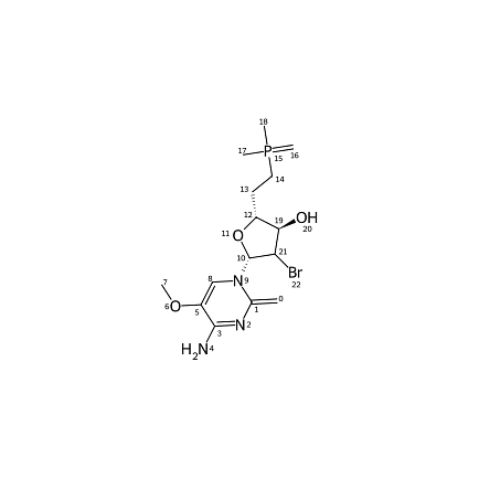 C=C1N=C(N)C(OC)=CN1[C@@H]1O[C@H](CCP(=C)(C)C)[C@@H](O)C1Br